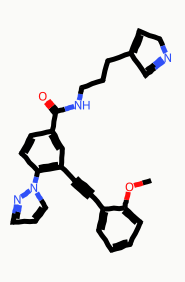 COc1ccccc1C#Cc1cc(C(=O)NCCCC2=CCN=C2)ccc1-n1cccn1